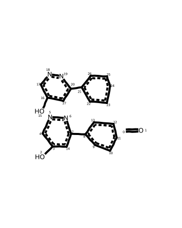 C=O.Oc1cnnc(-c2ccccc2)c1.Oc1cnnc(-c2ccccc2)c1